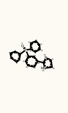 O=P(c1ccccc1)(c1ccccc1)c1cccc(-c2ncc[nH]2)c1